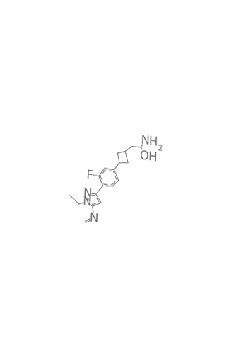 C=Nc1cc(-c2ccc(C3CC(CC(N)O)C3)cc2F)nn1CC